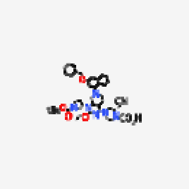 CC(Oc1nc2c(c(N3CCN(C(=O)O)[C@@H](CC#N)C3)n1)CCN(c1cc(OCc3ccccc3)cc3ccccc13)C2)[C@H]1CCCN1C(=O)OC(C)(C)C